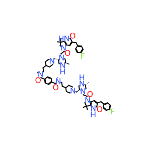 C[C@@H]1CN(CC(=O)N2CC(C)(C)c3[nH]c(=O)c(Cc4ccc(F)cc4)cc32)[C@@H](CN2CCC(CCN(C)C(=O)c3ccc(C(=O)N(C)CCC4CCN(C[C@H]5CN[C@H](C)CN5CC(=O)N5CC(C)(C)c6[nH]c(=O)c(Cc7ccc(F)cc7)cc65)CC4)cc3)CC2)CN1